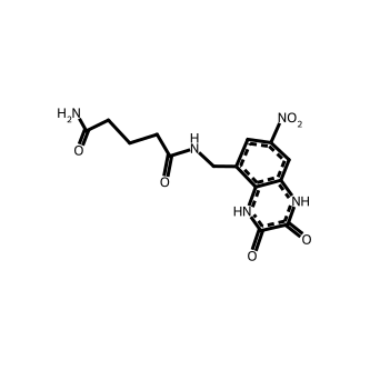 NC(=O)CCCC(=O)NCc1cc([N+](=O)[O-])cc2[nH]c(=O)c(=O)[nH]c12